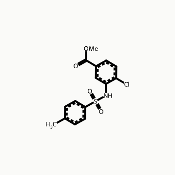 COC(=O)c1ccc(Cl)c(NS(=O)(=O)c2ccc(C)cc2)c1